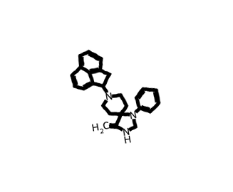 C=C1NCN(c2ccccc2)C12CCN(C1Cc3cccc4cccc1c34)CC2